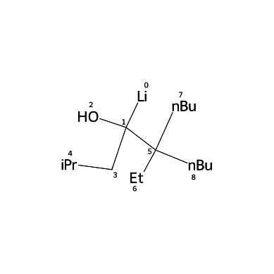 [Li][C](O)(CC(C)C)C(CC)(CCCC)CCCC